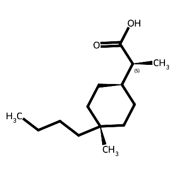 CCCC[C@]1(C)CC[C@@H]([C@H](C)C(=O)O)CC1